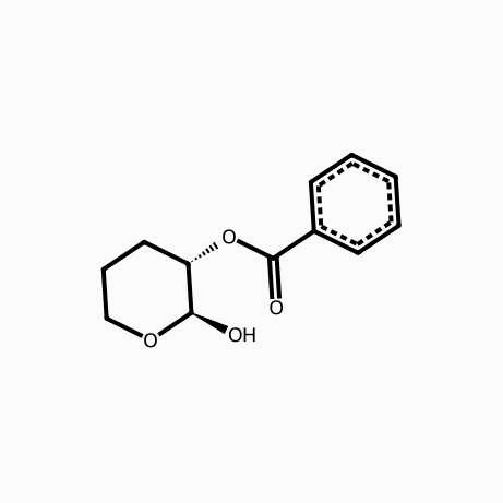 O=C(O[C@H]1CCCO[C@@H]1O)c1ccccc1